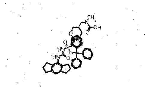 CN(C[C@@H]1COc2c(S(=O)(=NC(c3ccccc3)(c3ccccc3)c3ccccc3)NC(=O)Nc3c4c(cc5c3CCC5)CCC4)cnn2C1)C(=O)O